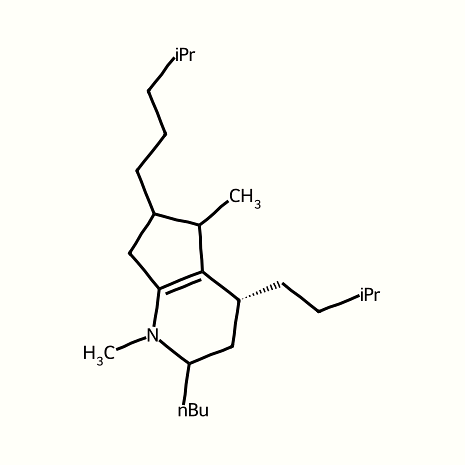 CCCCC1C[C@@H](CCC(C)C)C2=C(CC(CCCC(C)C)C2C)N1C